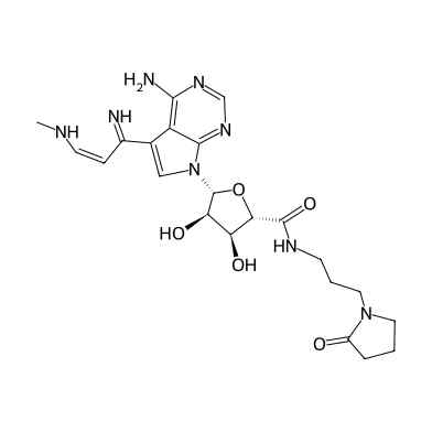 CN/C=C\C(=N)c1cn([C@@H]2O[C@H](C(=O)NCCCN3CCCC3=O)[C@@H](O)[C@H]2O)c2ncnc(N)c12